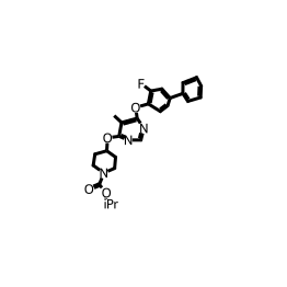 Cc1c(Oc2ccc(-c3ccccc3)cc2F)ncnc1OC1CCN(C(=O)OC(C)C)CC1